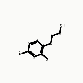 Cc1cc(Br)ccc1CCCO